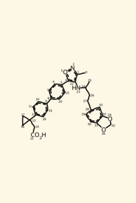 Cc1noc(-c2ccc(-c3ccc(C4(CC(=O)O)CC4)cc3)cc2)c1NC(C)CCc1ccc2c(c1)OCO2